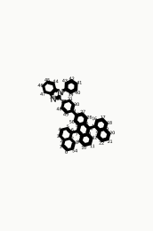 C1=CC2C=CC=C(c3c4ccccc4c(-c4cccc5ccccc45)c4ccc(C5=CC[C@@H](c6nc7c(n6-c6ccccc6)C=CCC7)C=C5)cc34)C2C=C1